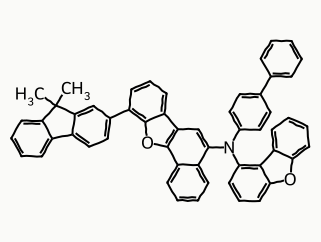 CC1(C)c2ccccc2-c2ccc(-c3cccc4c3oc3c5ccccc5c(N(c5ccc(-c6ccccc6)cc5)c5cccc6oc7ccccc7c56)cc43)cc21